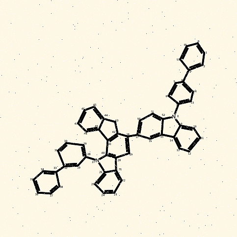 c1ccc(-c2ccc(-n3c4ccccc4c4cc(-c5cc6c7ccccc7n(-c7cccc(-c8ccccc8)c7)c6c6c5Cc5ccccc5-6)ccc43)cc2)cc1